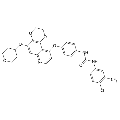 O=C(Nc1ccc(Oc2ccnc3cc(OC4CCOCC4)c4c(c23)OCCO4)cc1)Nc1ccc(Cl)c(C(F)(F)F)c1